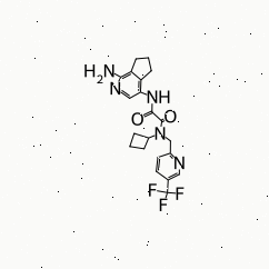 Nc1ncc(NC(=O)C(=O)N(Cc2ccc(C(F)(F)F)cn2)C2CCC2)c2c1CCC2